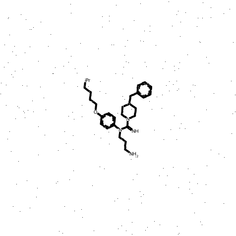 CC(C)CCCCOc1ccc(N(CCCN)C(=N)N2CCC(Cc3ccccc3)CC2)cc1